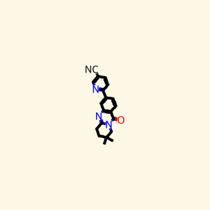 CC1(C)CCc2nc3cc(-c4ccc(C#N)cn4)ccc3c(=O)n2C1